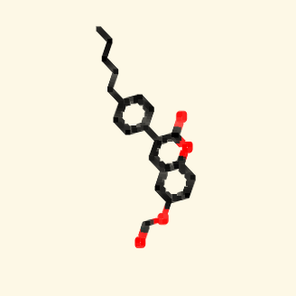 CCCCCc1ccc(-c2cc3cc(OC=O)ccc3oc2=O)cc1